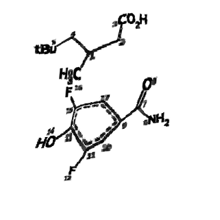 CC(CC(=O)O)CC(C)(C)C.NC(=O)c1cc(F)c(O)c(F)c1